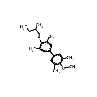 CCC(C)COc1c(C)cc(-c2cc(C)c(OC)c(C)c2)cc1C